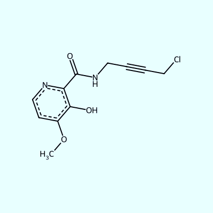 COc1ccnc(C(=O)NCC#CCCl)c1O